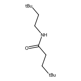 CC(C)(C)CCNC(=O)CCC(C)(C)C